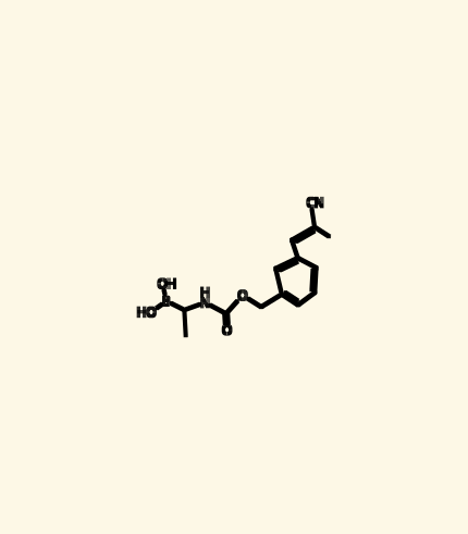 CC(C#N)=Cc1cccc(COC(=O)NC(C)B(O)O)c1